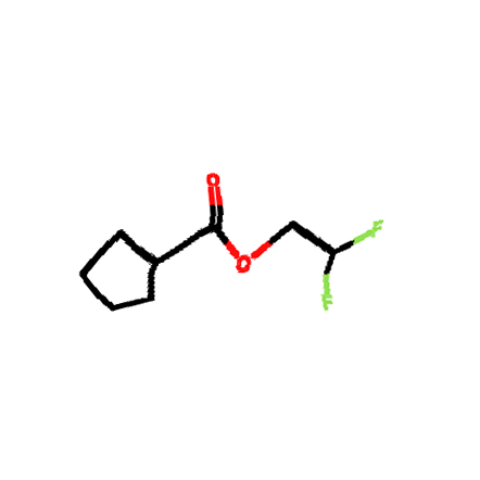 O=C(OCC(F)F)C1CCCC1